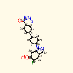 NC(=O)c1ccc(-c2ccc(-n3ncc4cc(F)c(O)cc43)cc2)cc1